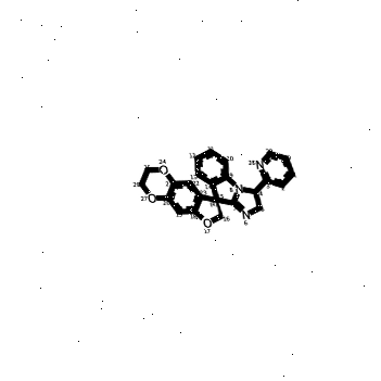 c1ccc(C2CN=C3N2c2ccccc2[C@]32COc3cc4c(cc32)OCCO4)nc1